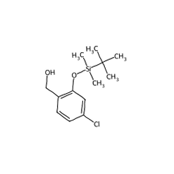 CC(C)(C)[Si](C)(C)Oc1cc(Cl)ccc1CO